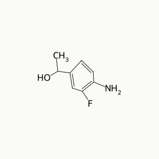 CC(O)c1ccc(N)c(F)c1